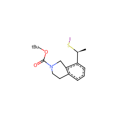 C[C@H](SI)c1cccc2c1CN(C(=O)OC(C)(C)C)CC2